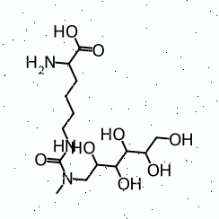 CN(CC(O)C(O)C(O)C(O)CO)C(=O)NCCCCC(N)C(=O)O